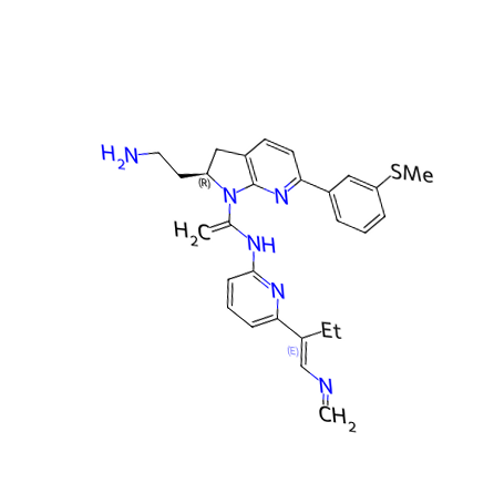 C=N/C=C(\CC)c1cccc(NC(=C)N2c3nc(-c4cccc(SC)c4)ccc3C[C@@H]2CCN)n1